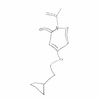 C=C(C)n1ccc(OCCC2CC2)cc1=O